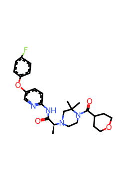 C[C@@H](C(=O)Nc1ccc(Oc2ccc(F)cc2)cn1)N1CCN(C(=O)C2CCOCC2)C(C)(C)C1